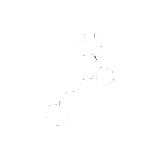 c1cncc([C@H]2CCCN2CCCN2CCCCC2)c1